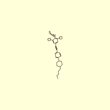 CCCCCC1CCC(c2ccc(C#Cc3cc(Cl)c(N=C=S)c(Cl)c3)cc2)CC1